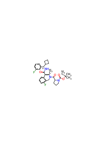 CC1=C(C(=O)N[C@H](c2cccc(F)c2)C2CCC2)c2cccc(F)c2CN1C(=O)C1CCCN1C(=O)OC(C)(C)C